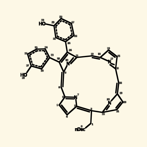 CCCCCCCCCCCC1=C2C=CC(=N2)C=C2N=C(C=C3C=CC(=N3)C=C3C=CC1=N3)C(c1cccc(O)c1)=C2c1cccc(O)c1